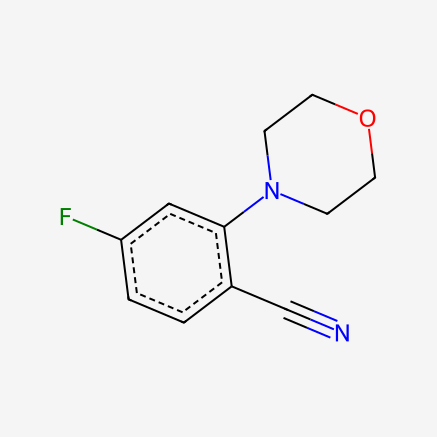 N#Cc1ccc(F)cc1N1CCOCC1